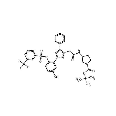 Cc1ccc(OS(=O)(=O)c2cccc(C(F)(F)F)c2)c(-c2cc(-c3ccccc3)n(CC(=O)N[C@@H]3CCN(C(=O)OC(C)(C)C)C3)n2)c1